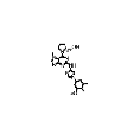 COc1cc(-n2cnc(Nc3nc(N4CCC[C@H]4CO)c4c(ncn4C)n3)c2)cc(C)c1C